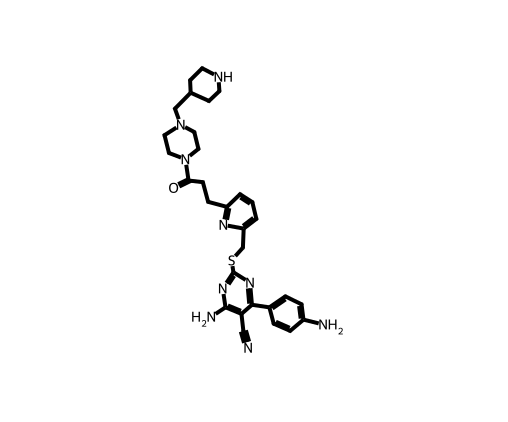 N#Cc1c(N)nc(SCc2cccc(CCC(=O)N3CCN(CC4CCNCC4)CC3)n2)nc1-c1ccc(N)cc1